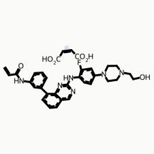 C=CC(=O)Nc1cccc(-c2cccc3cnc(Nc4ccc(N5CCN(CCO)CC5)cc4F)nc23)c1.O=C(O)/C=C\C(=O)O